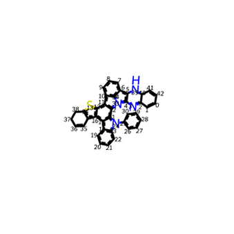 C1=CC2=Nc3c(c4cccc5c6c7sc8c(c7c7c9ccccc9n(-c9ccccc9)c7c6n3c45)C=CCC8)NC2C=C1